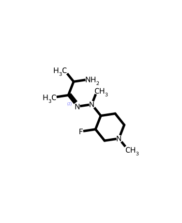 C/C(=N/N(C)C1CCN(C)CC1F)C(C)N